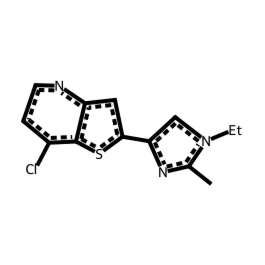 CCn1cc(-c2cc3nccc(Cl)c3s2)nc1C